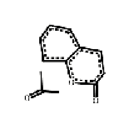 CC(C)=O.O=c1ccc2ccccc2o1